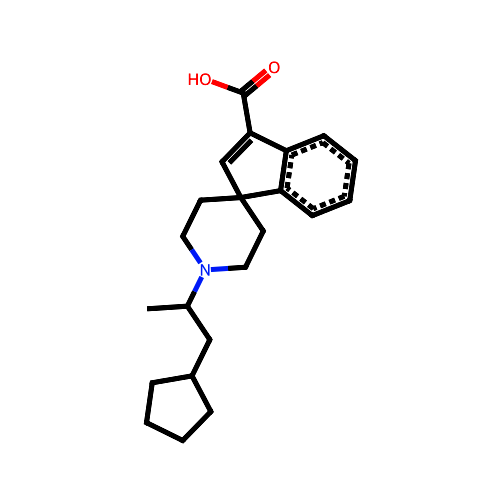 CC(CC1CCCC1)N1CCC2(C=C(C(=O)O)c3ccccc32)CC1